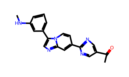 CNc1cccc(-c2cnc3cc(-c4ncc(C(C)=O)cn4)ccn23)c1